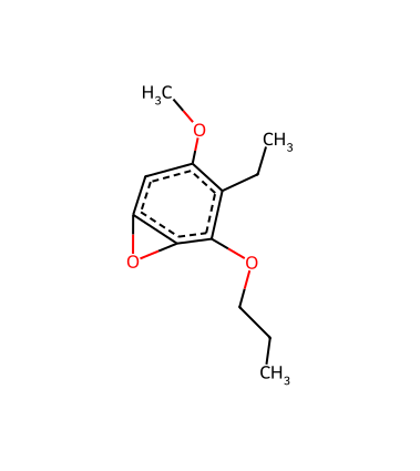 CCCOc1c(CC)c(OC)cc2c1O2